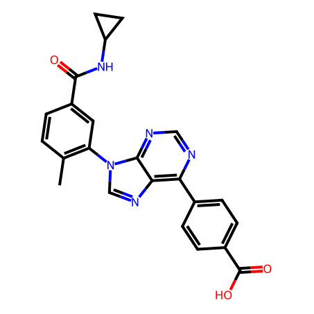 Cc1ccc(C(=O)NC2CC2)cc1-n1cnc2c(-c3ccc(C(=O)O)cc3)ncnc21